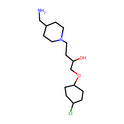 NCC1CCN(CCC(O)COC2CCC(Cl)CC2)CC1